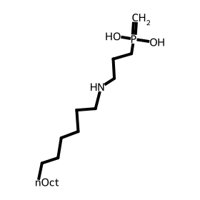 C=P(O)(O)CCCNCCCCCCCCCCCCCC